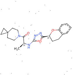 C[C@H](Nc1nnc([C@@H]2CCc3ccccc3O2)o1)C(=O)N1CCC2(CC1)CC2